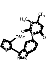 COc1ccsc1-c1nsc2ccc(-n3c(=O)cc(C(F)(F)F)n(C)c3=O)cc12